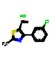 CNc1sc(C(F)(F)F)nc1-c1cccc(Cl)c1.Cl